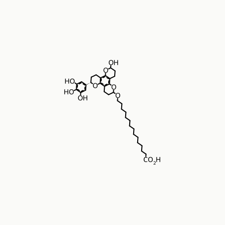 O=C(O)CCCCCCCCCCCCCCOC1CCc2c(c3c(c4c2O[C@H](c2cc(O)c(O)c(O)c2)CC4)OC(O)CC3)O1